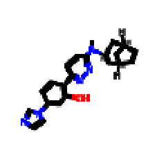 CN(c1ccc(-c2ccc(-n3ccnc3)cc2O)nn1)[C@H]1C[C@@H]2CC[C@@H](C2)C1